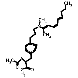 C=C(C)SC(Cc1ccc(CCCN(C)/C(C)=C/C=C\C=C\CCC)cc1)C(C)=O